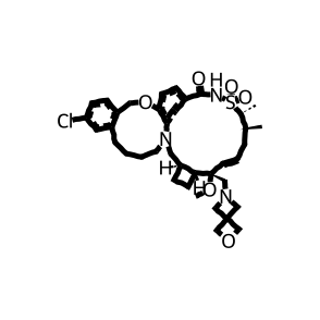 CO[C@@]1(CN2CC3(COC3)C2)/C=C/C[C@H](C)[C@@H](C)S(=O)(=O)NC(=O)c2ccc3c(c2)N(CCCCc2cc(Cl)ccc2CO3)C[C@@H]2CC[C@H]21